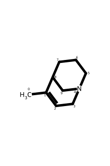 CC1=CCN2CCCC1C2